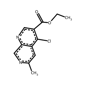 CCOC(=O)c1cnc2cnc(C)cc2c1Cl